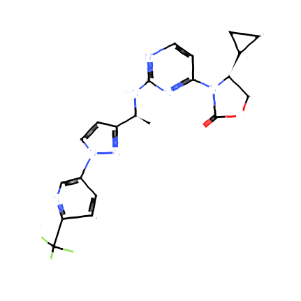 C[C@H](Nc1nccc(N2C(=O)OC[C@@H]2C2CC2)n1)c1ccn(-c2ccc(C(F)(F)F)nc2)n1